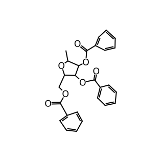 CC1OC(COC(=O)c2ccccc2)C(OC(=O)c2ccccc2)C1OC(=O)c1ccccc1